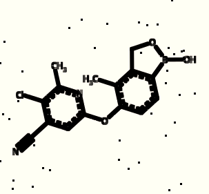 Cc1nc(Oc2ccc3c(c2C)COB3O)cc(C#N)c1Cl